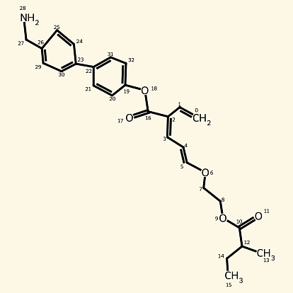 C=C/C(=C\C=C\OCCOC(=O)C(C)CC)C(=O)Oc1ccc(-c2ccc(CN)cc2)cc1